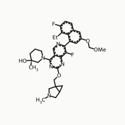 CCc1c(F)ccc2cc(OCOC)cc(-c3ncc4c(N5CCC[C@@](C)(O)C5)nc(OCC56CC5CN(C)C6)nc4c3F)c12